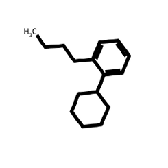 CCCCc1ccccc1C1CCCCC1